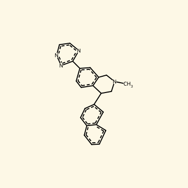 CN1Cc2cc(-c3nccnn3)ccc2C(c2ccc3ccccc3c2)C1